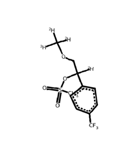 [2H]C([2H])([2H])OCC([2H])(OS(C)(=O)=O)c1ccc(C(F)(F)F)cc1